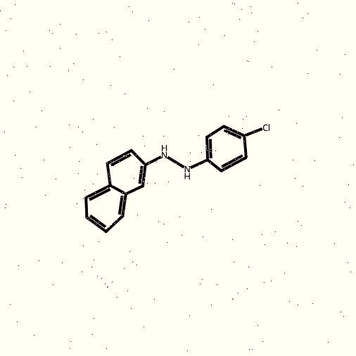 Clc1ccc(NNc2ccc3ccccc3c2)cc1